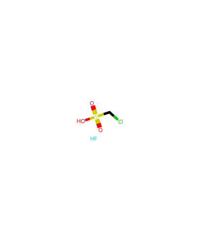 F.O=S(=O)(O)CCl